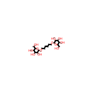 OCC1O[C@H](OCCC=CCCO[C@@H]2OC(CO)[C@H](O)[C@@H](O)C2O)C(O)[C@@H](O)[C@@H]1O